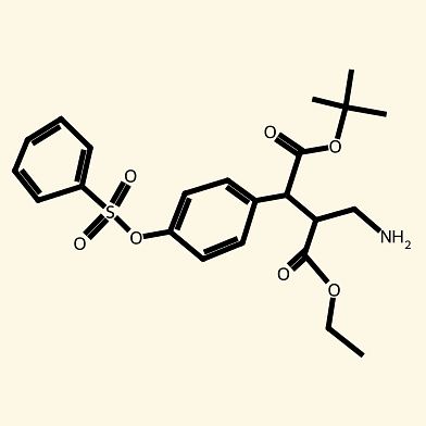 CCOC(=O)C(CN)C(C(=O)OC(C)(C)C)c1ccc(OS(=O)(=O)c2ccccc2)cc1